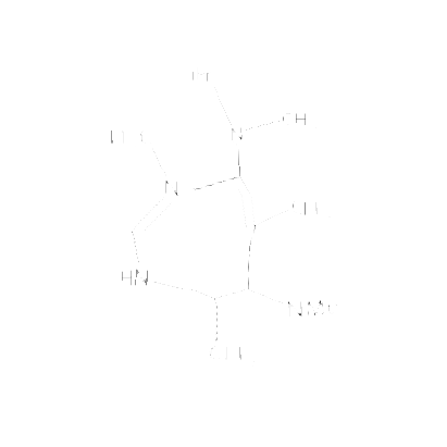 CNC1C(C)=C(N(C)C(C)C)[N+](C)=CNC1C